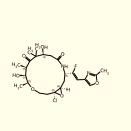 Cc1nc(C=C(F)[C@@H]2C[C@H]3O[C@@]3(Cl)CCO[C@@H](C)[C@@H](O)[C@@H](C)C(=O)C(C)(C)[C@@H](O)CC(=O)N2)co1